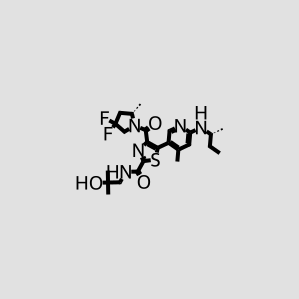 CC[C@@H](C)Nc1cc(C)c(-c2sc(C(=O)NCC(C)(C)O)nc2C(=O)N2CC(F)(F)C[C@@H]2C)cn1